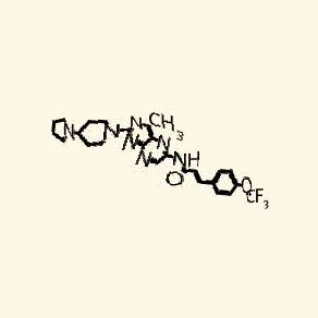 Cc1nc(N2CCC(N3CCCC3)CC2)nc2ncc(NC(=O)C=Cc3ccc(OC(F)(F)F)cc3)nc12